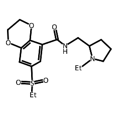 CCN1CCCC1CNC(=O)c1cc(S(=O)(=O)CC)cc2c1OCCO2